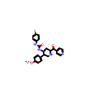 COc1ccc(C2CNC(C(=O)c3ccncc3)CC2NC(=O)Nc2ccc(F)cc2)cc1